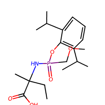 CCC(C)(NP(=O)(COC)Oc1c(C(C)C)cccc1C(C)C)C(=O)O